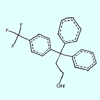 OCCC(c1ccccc1)(c1ccccc1)c1ccc(C(F)(F)F)cc1